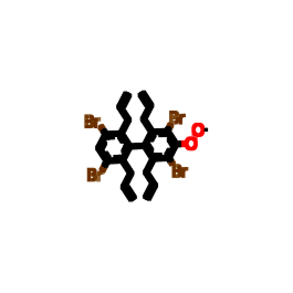 C=CCc1c(Br)cc(Br)c(CC=C)c1-c1c(CC=C)c(Br)c(O[O])c(Br)c1CC=C